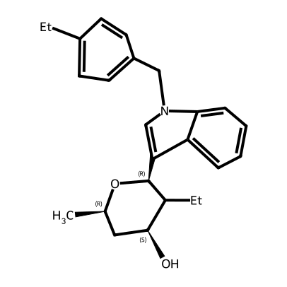 CCc1ccc(Cn2cc([C@@H]3O[C@H](C)C[C@H](O)C3CC)c3ccccc32)cc1